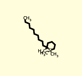 CCCCCCCCCCC1(C)CCCC[Si]1(C)C